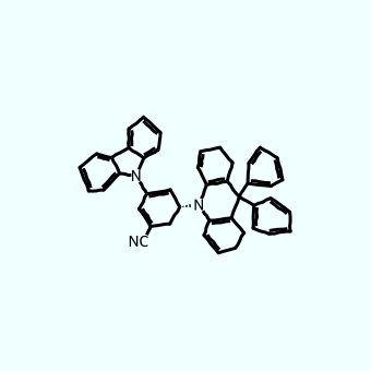 N#CC1=CC(n2c3ccccc3c3ccccc32)=C[C@H](N2C3=C(CCC=C3)C(c3ccccc3)(c3ccccc3)C3=C2C=CCC3)C1